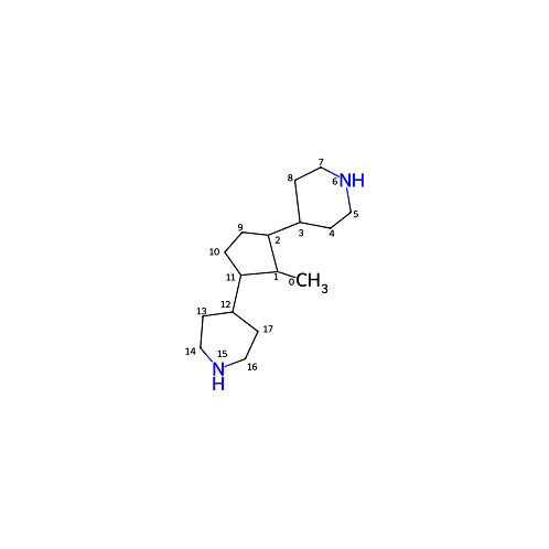 CC1C(C2CCNCC2)CCC1C1CCNCC1